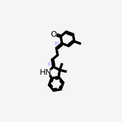 CC1=C/C(=C\C/C=C2/Nc3ccccc3C2(C)C)C(=O)C=C1